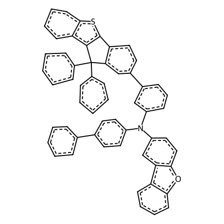 c1ccc(-c2ccc(N(c3cccc(-c4ccc5c(c4)C(c4ccccc4)(c4ccccc4)c4c-5sc5ccccc45)c3)c3ccc4oc5ccccc5c4c3)cc2)cc1